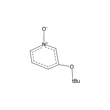 CC(C)(C)Oc1ccc[n+]([O-])c1